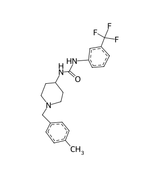 Cc1ccc(CN2CCC(NC(=O)Nc3cccc(C(F)(F)F)c3)CC2)cc1